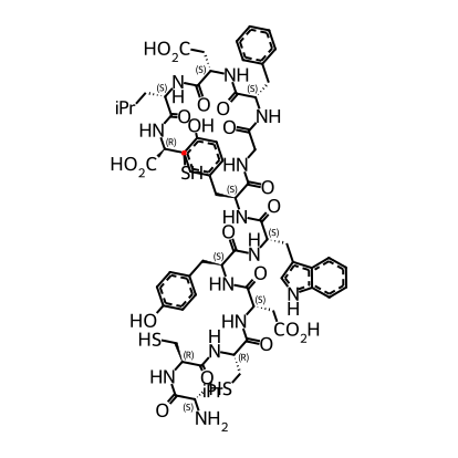 CC(C)C[C@H](NC(=O)[C@H](CC(=O)O)NC(=O)[C@H](Cc1ccccc1)NC(=O)CNC(=O)[C@H](Cc1ccc(O)cc1)NC(=O)[C@H](Cc1c[nH]c2ccccc12)NC(=O)[C@H](Cc1ccc(O)cc1)NC(=O)[C@H](CC(=O)O)NC(=O)[C@H](CS)NC(=O)[C@H](CS)NC(=O)[C@@H](N)C(C)C)C(=O)N[C@@H](CS)C(=O)O